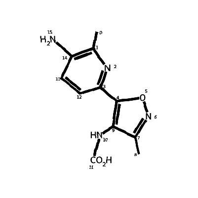 Cc1nc(-c2onc(C)c2NC(=O)O)ccc1N